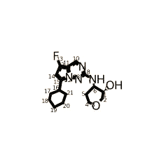 O[C@@H]1COCC[C@H]1Nc1ncc2c(F)cc(C3CCCCC3)n2n1